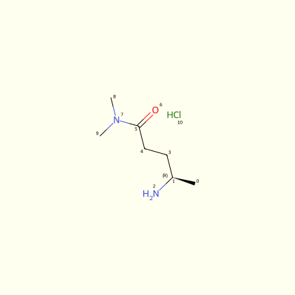 C[C@@H](N)CCC(=O)N(C)C.Cl